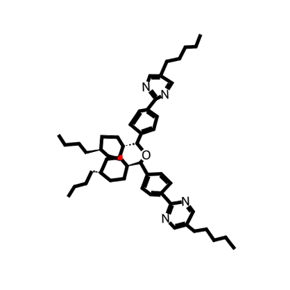 CCCCCc1cnc(-c2ccc(C(OC(c3ccc(-c4ncc(CCCCC)cn4)cc3)[C@H]3CC[C@H](CCCC)CC3)[C@H]3CC[C@H](CCCC)CC3)cc2)nc1